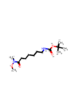 CON(C)C(=O)CCCCCCNC(=O)OC(C)(C)C